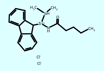 CCCCC(=O)[NH][Zr+2]([CH]1c2ccccc2-c2ccccc21)[SiH](C)C.[Cl-].[Cl-]